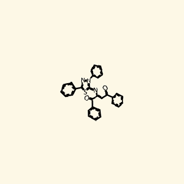 O=C(C=C(N=c1sc(-c2ccccc2)nn1-c1ccccc1)C(=O)c1ccccc1)c1ccccc1